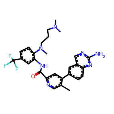 Cc1cnc(C(=O)Nc2cc(C(F)(F)F)ccc2N(C)CCCN(C)C)cc1-c1ccc2nc(N)ncc2c1